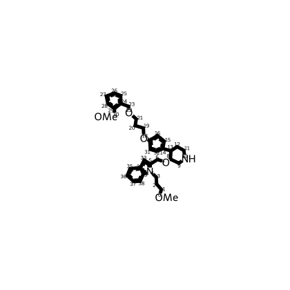 COCCCn1c(COC2CNCCC2c2ccc(OCCCOCc3ccccc3OC)cc2)cc2ccccc21